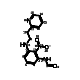 O=CNc1cccc(NCCc2ccccn2)c1[N+](=O)[O-]